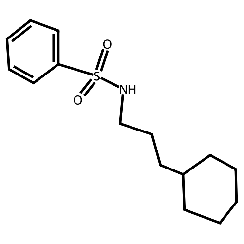 O=S(=O)(NCCCC1CCCCC1)c1ccccc1